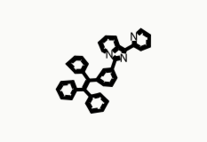 c1ccc(C(=C(c2ccccc2)c2cccc(-c3nc(-c4ccccn4)c4ccccn34)c2)c2ccccc2)cc1